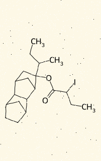 CCC(I)C(=O)OC1(C(C)CC)CC2CC1C1C3CCC(C3)C21